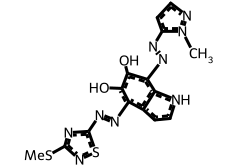 CSc1nsc(/N=N/c2c(O)c(O)c(/N=N/c3ccnn3C)c3[nH]ccc23)n1